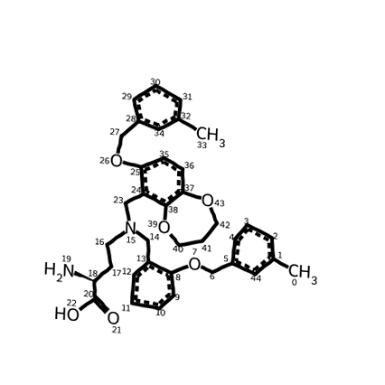 Cc1cccc(COc2ccccc2CN(CC[C@H](N)C(=O)O)Cc2c(OCc3cccc(C)c3)ccc3c2OCCCO3)c1